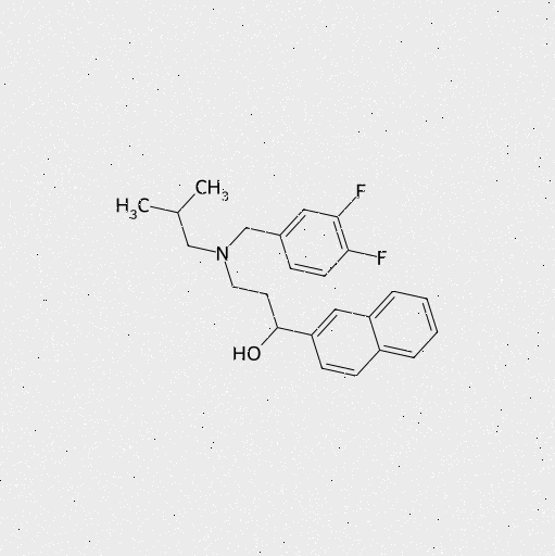 CC(C)CN(CCC(O)c1ccc2ccccc2c1)Cc1ccc(F)c(F)c1